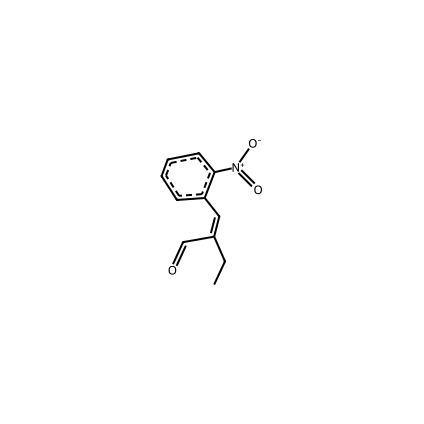 CCC(C=O)=Cc1ccccc1[N+](=O)[O-]